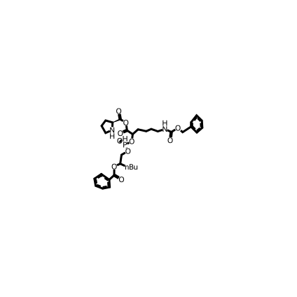 CCCCC(CO[PH](=O)OC(CCCCNC(=O)OCc1ccccc1)C(=O)OC(=O)[C@@H]1CCCN1)OC(=O)c1ccccc1